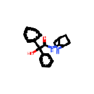 O=C(NC1C2CCC1NC2)C(O)(c1ccccc1)c1ccccc1